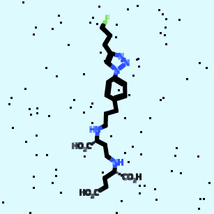 O=C(O)CC[C@H](NCC[C@@H](NCCCc1ccc(-n2cc(CCCF)nn2)cc1)C(=O)O)C(=O)O